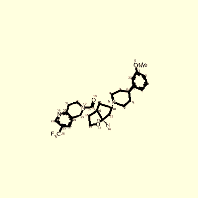 COc1cccc(C2CCN([C@@H]3C[C@H]4OCC[C@@]4(C(=O)N4CCc5ncc(C(F)(F)F)cc5C4)C3)CC2)c1